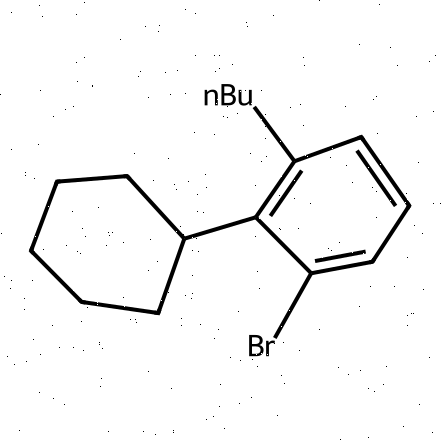 CCCCc1cccc(Br)c1C1CCCCC1